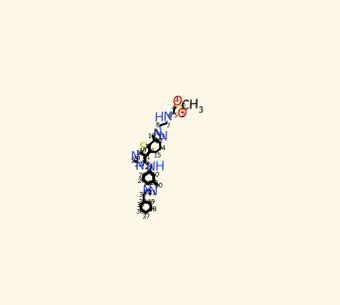 CS(=O)(=O)CCNCCn1cc2c(n1)CCc1c-2sc2ncnc(Nc3ccc4c(cnn4Cc4ccccc4)c3)c12